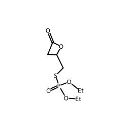 CCOP(=O)(OCC)SCC1CC(=O)O1